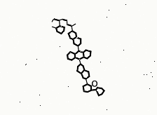 C/C=C(/C=C\C=C(/C)c1ccc2cc(-c3c4ccccc4c(-c4ccc5cc(-c6cccc7c6oc6ccccc67)ccc5c4)c4ccccc34)ccc2c1)c1ccccc1C